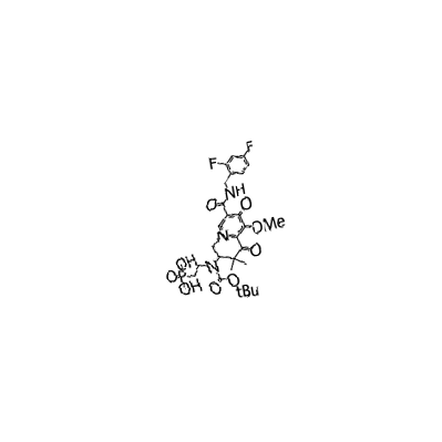 COc1c2n(cc(C(=O)NCc3ccc(F)cc3F)c1=O)CC(N(CCP(=O)(O)O)C(=O)OC(C)(C)C)C(C)(C)C2=O